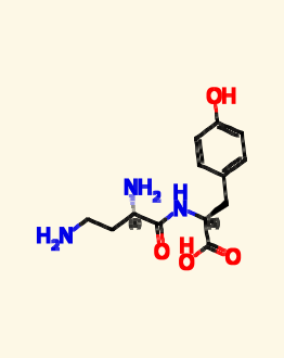 NCC[C@H](N)C(=O)N[C@@H](Cc1ccc(O)cc1)C(=O)O